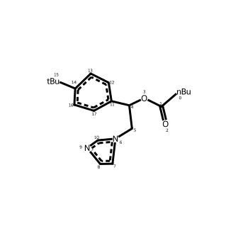 CCCCC(=O)OC(Cn1ccnc1)c1ccc(C(C)(C)C)cc1